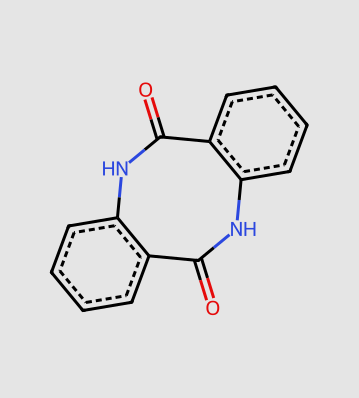 O=C1Nc2ccccc2C(=O)Nc2ccccc21